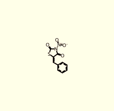 O=C1SC(=Cc2ccccc2)C(=O)N1[N+](=O)[O-]